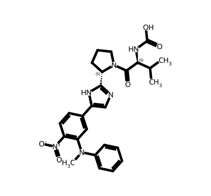 CC(C)[C@H](NC(=O)O)C(=O)N1CCC[C@H]1c1ncc(-c2ccc([N+](=O)[O-])c(N(C)c3ccccc3)c2)[nH]1